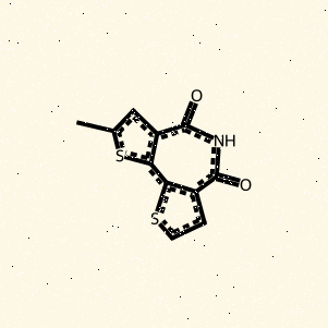 Cc1cc2c(=O)[nH]c(=O)c3ccsc3c2s1